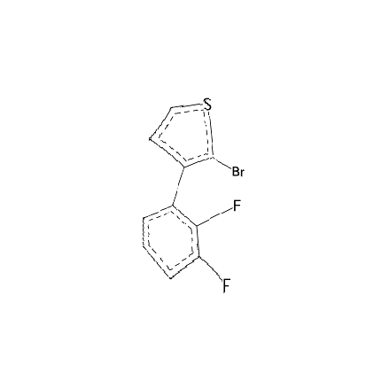 Fc1cccc(-c2ccsc2Br)c1F